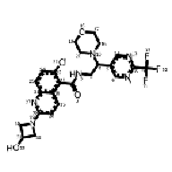 O=C(NCC(c1cnc(C(F)(F)F)nc1)N1CCOCC1)c1c(Cl)ccc2nc(N3CC(O)C3)ccc12